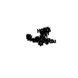 CC(C)(C)OC(=O)N[C@@H](Cc1ccccc1)[C@@H](O)C[C@@H](CCc1ccc(OCCN2CCOCC2)cc1)C(=O)N[C@H]1c2ccccc2C[C@H]1O